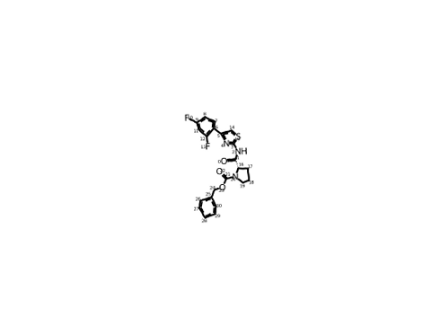 O=C(Nc1nc(-c2ccc(F)cc2F)cs1)[C@@H]1CCCN1C(=O)OCc1ccccc1